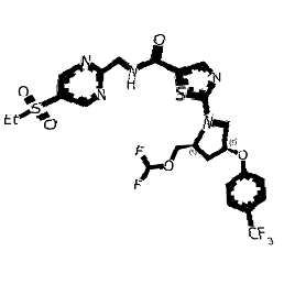 CCS(=O)(=O)c1cnc(CNC(=O)c2cnc(N3C[C@@H](Oc4ccc(C(F)(F)F)cc4)C[C@H]3COC(F)F)s2)nc1